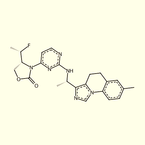 Cc1ccc2c(c1)CCc1c([C@H](C)Nc3nccc(N4C(=O)OC[C@@H]4[C@H](C)F)n3)ncn1-2